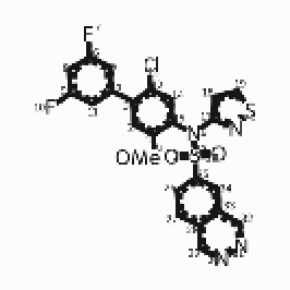 COc1cc(-c2cc(F)cc(F)c2)c(Cl)cc1N(c1ccsn1)S(=O)(=O)c1ccc2cnncc2c1